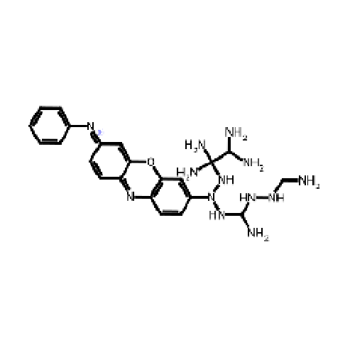 NCNNC(N)NN(NC(N)(N)C(N)N)c1ccc2nc3cc/c(=N\c4ccccc4)cc-3oc2c1